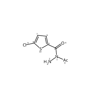 CC(=O)N(N)C(=O)c1ccc(Cl)s1